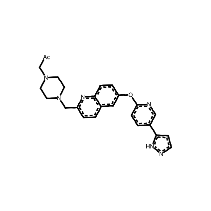 CC(=O)CN1CCN(Cc2ccc3cc(Oc4ccc(-c5ccn[nH]5)cn4)ccc3n2)CC1